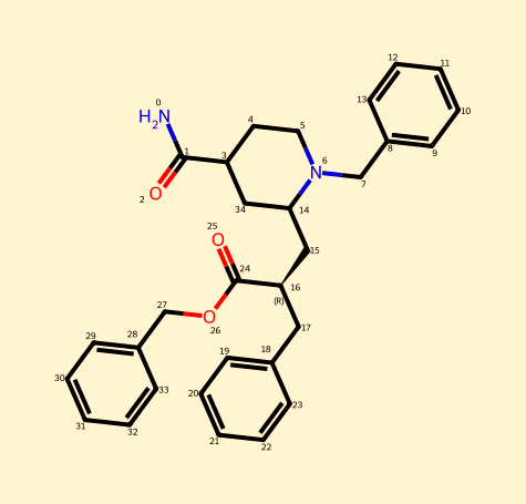 NC(=O)C1CCN(Cc2ccccc2)C(C[C@@H](Cc2ccccc2)C(=O)OCc2ccccc2)C1